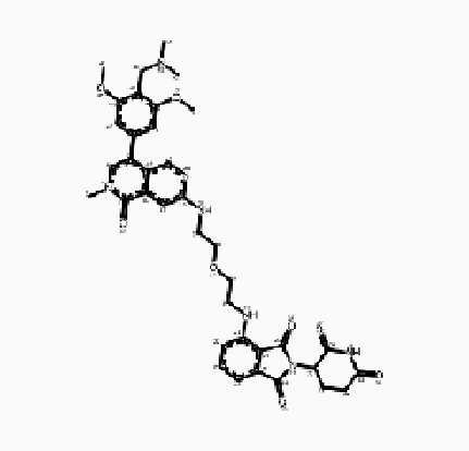 COc1cc(-c2cn(C)c(=O)c3cc(NCCOCCNc4cccc5c4C(=O)N(C4CCC(=O)NC4=O)C5=O)ncc23)cc(OC)c1CN(C)C